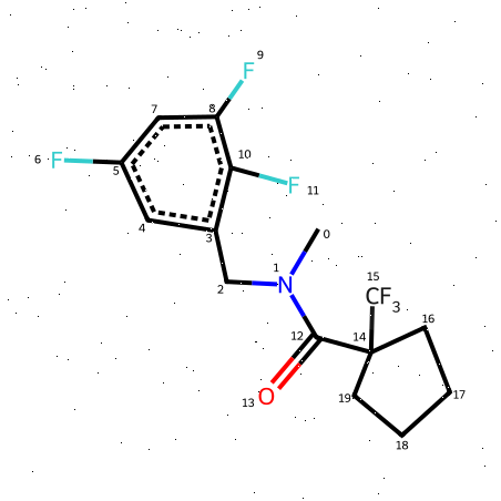 CN(Cc1cc(F)cc(F)c1F)C(=O)C1(C(F)(F)F)CCCC1